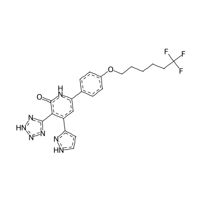 O=c1[nH]c(-c2ccc(OCCCCCC(F)(F)F)cc2)cc(-c2cc[nH]n2)c1-c1nn[nH]n1